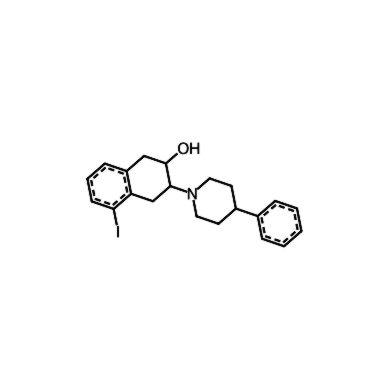 OC1Cc2cccc(I)c2CC1N1CCC(c2ccccc2)CC1